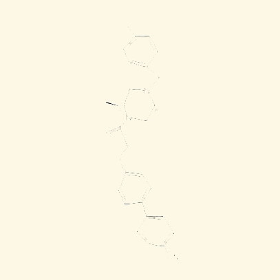 C[C@@H]1CN(C(=O)COc2ccc(-c3ccc(C#N)cc3)cc2)[C@@H](C)CN1Cc1ccc(F)cc1